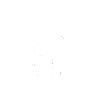 C=Nc1ccc2c(c1)CCN2c1ncnc(C)c1/N=C(\C)C=O